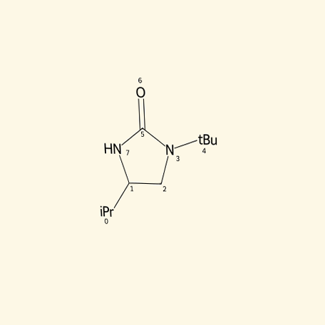 CC(C)C1CN(C(C)(C)C)C(=O)N1